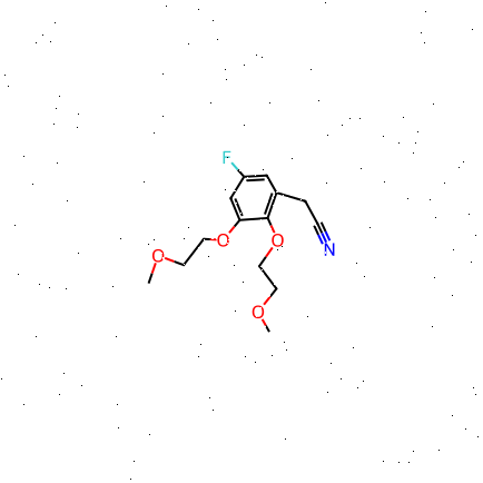 COCCOc1cc(F)cc(CC#N)c1OCCOC